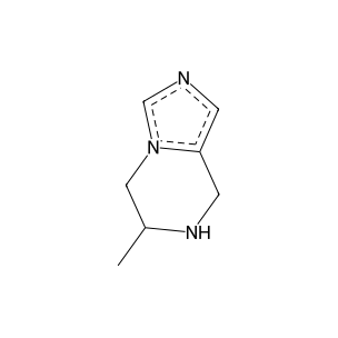 CC1Cn2cncc2CN1